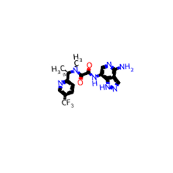 C[C@@H](c1ccc(C(F)(F)F)cn1)N(C)C(=O)C(=O)Nc1cnc(N)c2cn[nH]c12